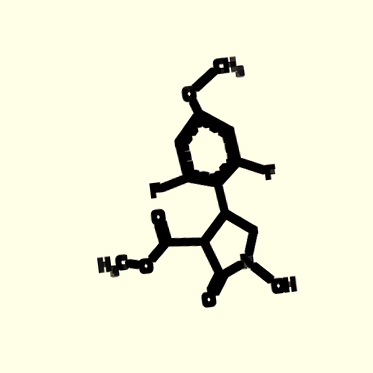 COC(=O)C1C(=O)N(O)CC1c1c(F)cc(OC)cc1F